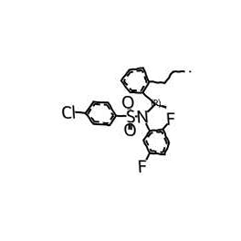 [CH2]CCc1ccccc1[C@@H](C)N(c1cc(F)ccc1F)S(=O)(=O)c1ccc(Cl)cc1